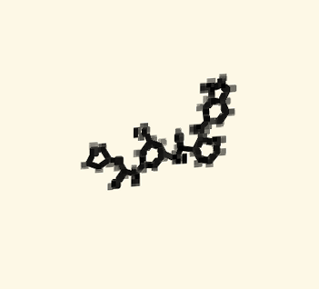 O=C(Nc1cc(NC(=O)c2cccnc2Nc2ccc3cn[nH]c3c2)cc(C(F)(F)F)c1)OC1CCOC1